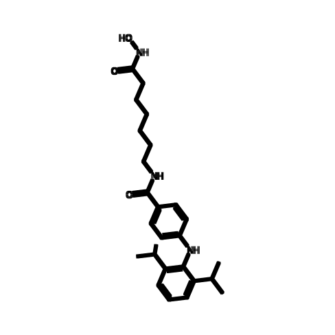 CC(C)c1cccc(C(C)C)c1Nc1ccc(C(=O)NCCCCCCC(=O)NO)cc1